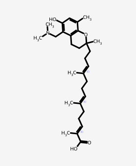 C/C(=C\CC/C(C)=C/CCC1(C)CCc2c(CN(C)C)c(O)cc(C)c2O1)CC/C=C(\C)C(=O)O